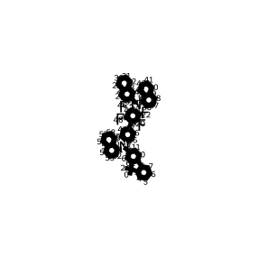 CC1(C)c2ccccc2-c2ccc(N(c3ccc(-c4c(F)c(F)c(N(c5ccc6ccccc6c5)c5cccc6ccccc56)c(F)c4F)cc3)c3cccc4ccccc34)cc21